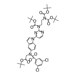 CC(C)(C)OC(=O)CN(c1ccc2c(ccn2-c2ccnc(N(CCN(C(=O)OC(C)(C)C)C(=O)OC(C)(C)C)C(=O)OC(C)(C)C)n2)c1)S(=O)(=O)c1cc(Cl)cc(Cl)c1